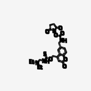 CCN(CC)CNC(=S)OCc1cc(=O)oc2ccc(CNC(=O)ON3C(=O)CCC3=O)cc12